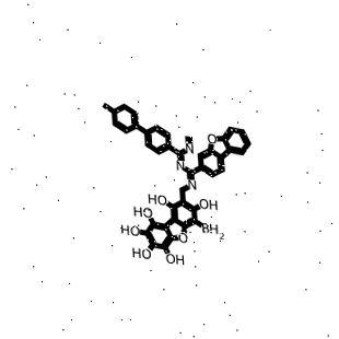 Bc1c(O)c(C/N=C(\N=C(/N=C)c2ccc(C3=CCC(C)C=C3)cc2)c2ccc3c(c2)oc2ccccc23)c(O)c2c1oc1c(O)c(O)c(O)c(O)c12